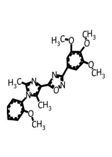 COc1ccccc1-n1c(C)nc(-c2nc(-c3cc(OC)c(OC)c(OC)c3)no2)c1C